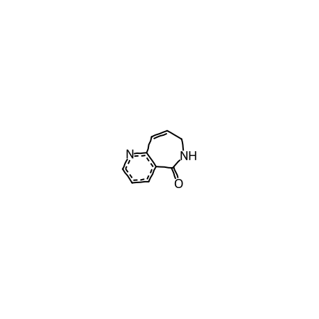 O=C1NCC=Cc2ncccc21